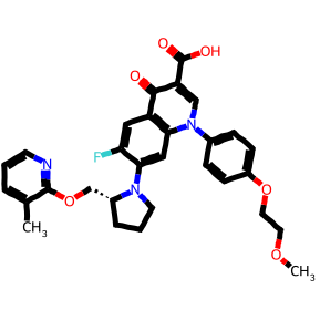 COCCOc1ccc(-n2cc(C(=O)O)c(=O)c3cc(F)c(N4CCC[C@@H]4COc4ncccc4C)cc32)cc1